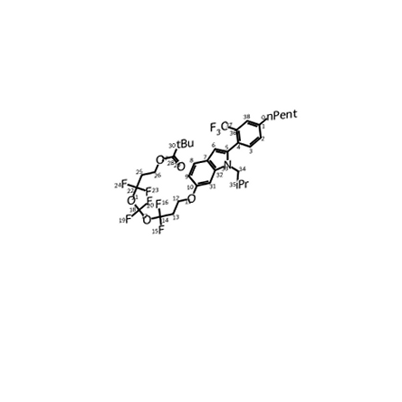 CCCCCc1ccc(-c2cc3ccc(OCCC(F)(F)OC(F)(F)OC(F)(F)CCOC(=O)C(C)(C)C)cc3n2CC(C)C)c(C(F)(F)F)c1